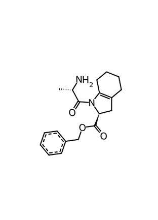 C[C@H](N)C(=O)N1C2=C(CCCC2)C[C@H]1C(=O)OCc1ccccc1